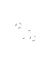 CCC(Oc1ccc(C(F)(F)F)cc1)C(=O)N1CC(=O)Nc2cc(C)cnc21